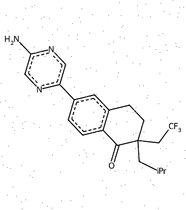 CC(C)CC1(CC(F)(F)F)CCc2cc(-c3cnc(N)cn3)ccc2C1=O